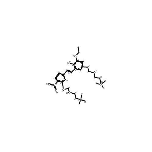 CCOc1cc(OCOCC[Si](C)(C)C)cc(/C=C/c2ccc([N+](=O)[O-])c(OCOCC[Si](C)(C)C)c2)c1Br